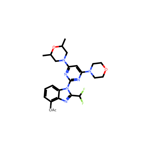 CC(=O)Oc1cccc2c1nc(C(F)F)n2-c1nc(N2CCOCC2)cc(N2CC(C)OC(C)C2)n1